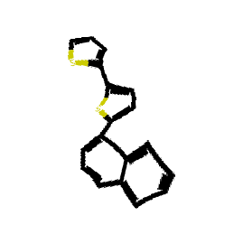 c1csc(-c2ccc(-c3cccc4ccccc34)s2)c1